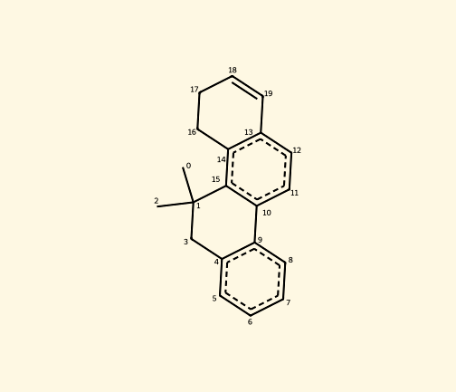 CC1(C)Cc2ccccc2-c2ccc3c(c21)CCC=C3